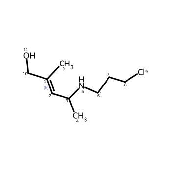 C/C(=C\C(C)N[CH]CCCl)CO